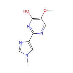 COc1cnc(-c2cn(C)cn2)nc1O